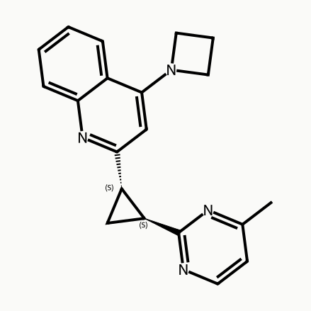 Cc1ccnc([C@H]2C[C@@H]2c2cc(N3CCC3)c3ccccc3n2)n1